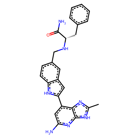 Cc1nc2c(-c3cc4cc(CN[C@@H](Cc5ccccc5)C(N)=O)ccc4[nH]3)cc(N)nc2[nH]1